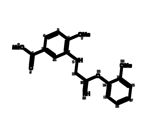 COC(=O)c1ccc(OC)c(NCC(=N)Oc2ccccc2OC)c1